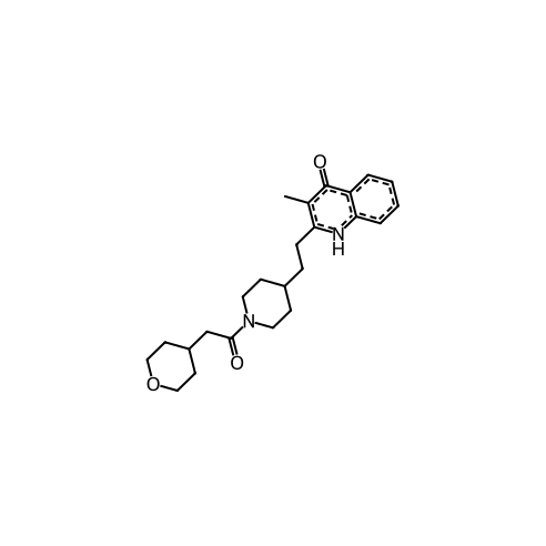 Cc1c(CCC2CCN(C(=O)CC3CCOCC3)CC2)[nH]c2ccccc2c1=O